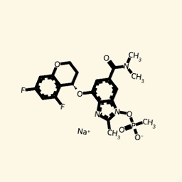 Cc1nc2c(O[C@H]3CCOc4cc(F)cc(F)c43)cc(C(=O)N(C)C)cc2n1OP(C)(=O)[O-].[Na+]